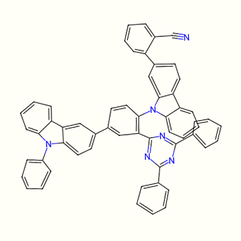 N#Cc1ccccc1-c1ccc2c3ccccc3n(-c3ccc(-c4ccc5c(c4)c4ccccc4n5-c4ccccc4)cc3-c3nc(-c4ccccc4)nc(-c4ccccc4)n3)c2c1